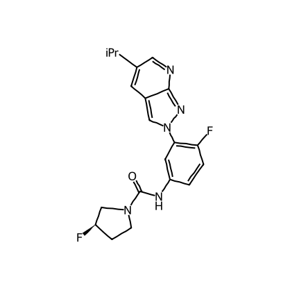 CC(C)c1cnc2nn(-c3cc(NC(=O)N4CC[C@@H](F)C4)ccc3F)cc2c1